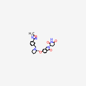 Cc1nc(-c2cccc(CN3CCCC[C@H]3COc3ccc4c(c3)CN(C3CCC(=O)NC3=O)C4=O)c2)no1